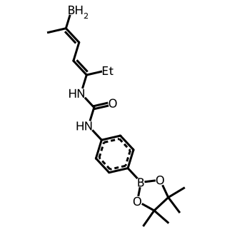 B/C(C)=C/C=C(\CC)NC(=O)Nc1ccc(B2OC(C)(C)C(C)(C)O2)cc1